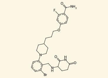 NC(=O)c1ccc(OCCCC2CCN(c3cccc(Br)c3CNC3CCC(=O)NC3=O)CC2)cc1F